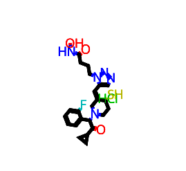 Cl.O=C(CCCn1nncc1/C=C1/CN(C(C(=O)C2CC2)c2ccccc2F)CCC1S)NO